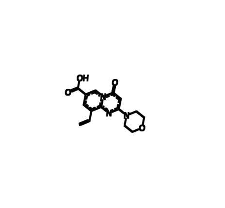 C=Cc1cc(C(=O)O)cn2c(=O)cc(N3CCOCC3)nc12